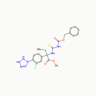 CC(C)OC(=O)C(CC(C)(C)C)(NC(=S)NC(=O)OCc1ccccc1)c1ccc(N2C=NNN2)c(F)c1